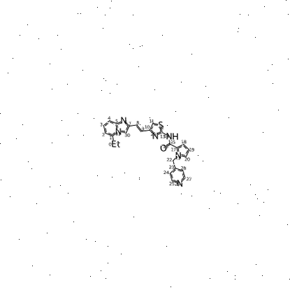 CCc1cccc2nc(C=Cc3csc(NC(=O)c4cccn4Cc4ccncc4)n3)cn12